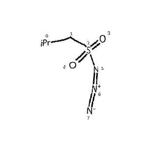 CC(C)CS(=O)(=O)N=[N+]=[N-]